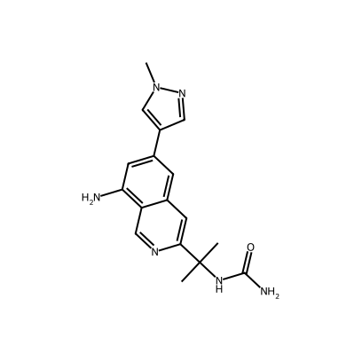 Cn1cc(-c2cc(N)c3cnc(C(C)(C)NC(N)=O)cc3c2)cn1